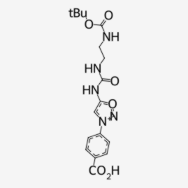 CC(C)(C)OC(=O)NCCNC(=O)Nc1c[n+](-c2ccc(C(=O)O)cc2)no1